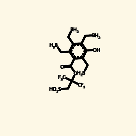 BCc1c(O)c(CB)c(C(=O)OC(CS(=O)(=O)O)(C(F)(F)F)C(F)(F)F)c(CB)c1CB